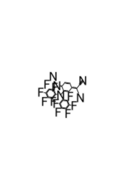 N#C/N=C1\C=CC(=C(C#N)C#N)C=C1N(c1c(F)c(F)c(F)c(F)c1F)c1c(F)c(F)c(F)c(F)c1F